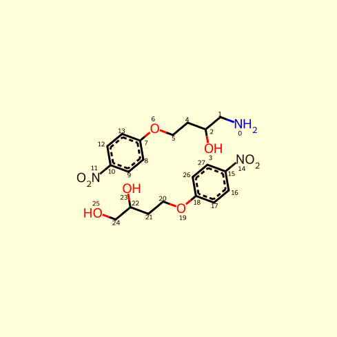 NCC(O)CCOc1ccc([N+](=O)[O-])cc1.O=[N+]([O-])c1ccc(OCCC(O)CO)cc1